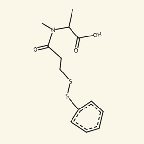 CC(C(=O)O)N(C)C(=O)CCSSc1ccccc1